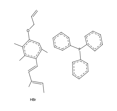 Br.C=CCOc1cc(C)c(C=CC(C)=CC)c(C)c1C.c1ccc(P(c2ccccc2)c2ccccc2)cc1